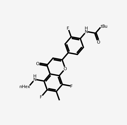 CCCCCCNc1c(F)c(C)c(F)c2oc(-c3ccc(NC(=O)C(C)(C)C)c(F)c3)cc(=O)c12